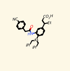 CCC(CC(=O)O)c1ccc([As](CC(C)C)CC(C)C)c(NC(=O)Cc2ccc(C#N)cc2)c1